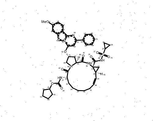 COc1ccc2c(c1)nn1c(O[C@@H]3C[C@H]4C(=O)N[C@]5(C(=O)NS(=O)(=O)C6CC6)C[C@H]5/C=C\CCCCC[C@H](NC(=O)OC5CCCC5)C(=O)N4C3)cc(-c3ccccc3)nc21